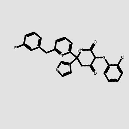 O=C1CC(c2ccsc2)(c2cccc(Cc3cccc(F)c3)n2)NC(=O)C1Sc1ccccc1Cl